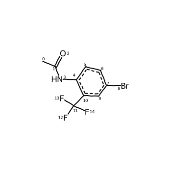 CC(=O)Nc1ccc(Br)cc1C(F)(F)F